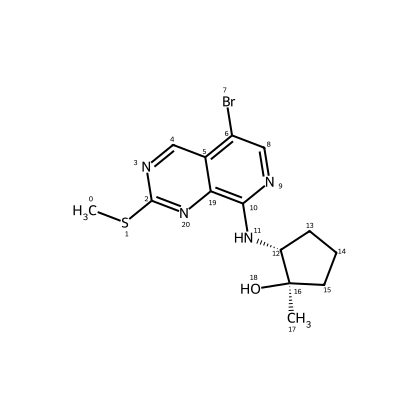 CSc1ncc2c(Br)cnc(N[C@@H]3CCC[C@@]3(C)O)c2n1